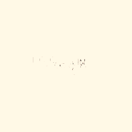 O=C(O)CCOc1ccc(-c2cc(Cl)c(CC3CCN(C4CCCCC4)C3=O)c(Cl)c2)cc1